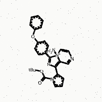 CC(C)(C)OC(=O)n1cccc1C1=C2C=NC=C[N+]2(N)C(c2ccc(Oc3ccccc3)cc2)=N1